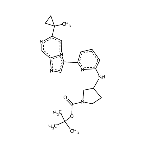 CC(C)(C)OC(=O)N1CCC(Nc2cccc(-c3cnc4cnc(C5(C)CC5)cn34)n2)C1